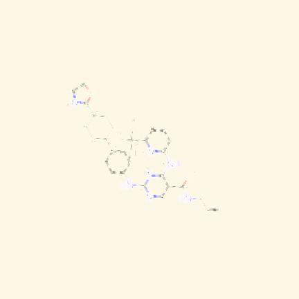 C=CCNC(=O)c1cnc(Nc2ccc(C3CCC(c4ncco4)CC3)cc2)nc1Nc1cccc(C(C)(C)O)n1